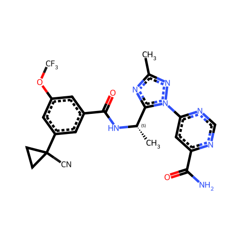 Cc1nc([C@H](C)NC(=O)c2cc(OC(F)(F)F)cc(C3(C#N)CC3)c2)n(-c2cc(C(N)=O)ncn2)n1